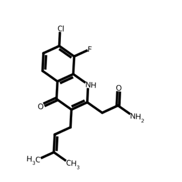 CC(C)=CCc1c(CC(N)=O)[nH]c2c(F)c(Cl)ccc2c1=O